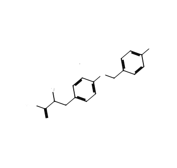 COC(=O)C(N)Cc1ccc(OCc2ccc(F)cc2)cc1.Cl